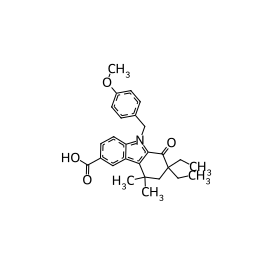 CCC1(CC)CC(C)(C)c2c(n(Cc3ccc(OC)cc3)c3ccc(C(=O)O)cc23)C1=O